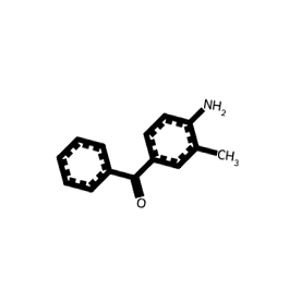 Cc1cc(C(=O)c2ccccc2)ccc1N